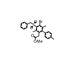 COC(=O)Cc1c(C)c(S(=O)(=O)Cc2ccccc2)c(Br)c(C)c1-c1ccc(C)cc1